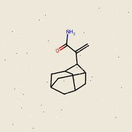 C=C(C(N)=O)C1C2CC3CC(C2)CC1C3